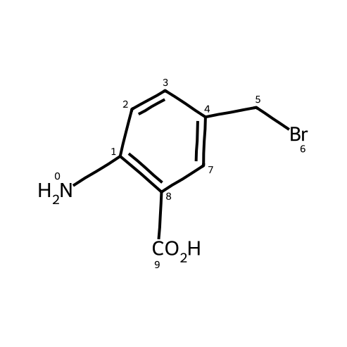 Nc1ccc(CBr)cc1C(=O)O